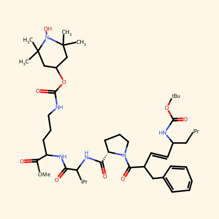 COC(=O)C(CCCNC(=O)OC1CC(C)(C)N(O)C(C)(C)C1)NC(=O)C(NC(=O)[C@@H]1CCCN1C(=O)C(/C=C/C(CC(C)C)NC(=O)OC(C)(C)C)Cc1ccccc1)C(C)C